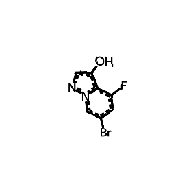 Oc1cnn2cc(Br)cc(F)c12